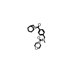 CN(Cc1ccc(C(=O)N2CC3CCCC2C3)cc1)C(=O)N1CCOCC1